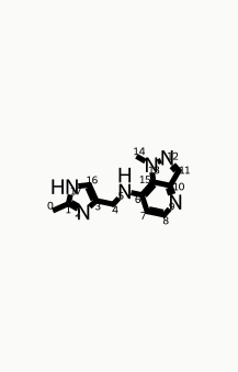 Cc1nc(CNc2ccnc3cnn(C)c23)c[nH]1